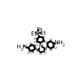 CC[Si](CC)(CC)c1ccc(N2[C@H](c3ccc(N)cc3)CC[C@H]2c2ccc(N)cc2)cc1